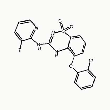 O=S1(=O)N=C(Nc2ncccc2F)Nc2c(Oc3ccccc3Cl)cccc21